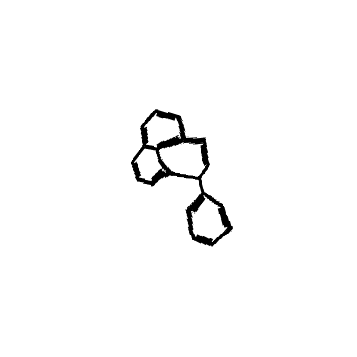 [c]1ccc(C2C=Cc3cccc4cccc2c34)cc1